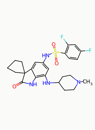 CN1CCC(Nc2cc(NS(=O)(=O)c3ccc(F)cc3F)cc3c2NC(=O)C32CCCC2)CC1